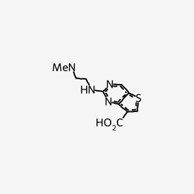 CNCCNc1ncc2scc(C(=O)O)c2n1